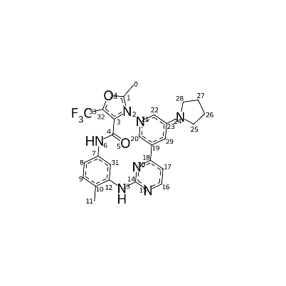 Cc1nc(C(=O)Nc2ccc(C)c(Nc3nccc(-c4cncc(N5CCCC5)c4)n3)c2)c(C(F)(F)F)o1